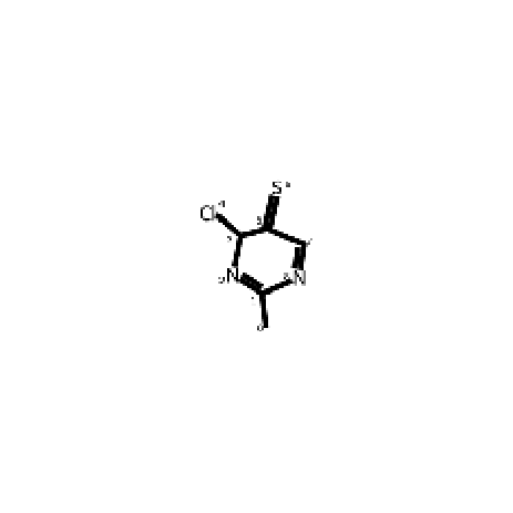 CC1=NC(Cl)C(=S)C=N1